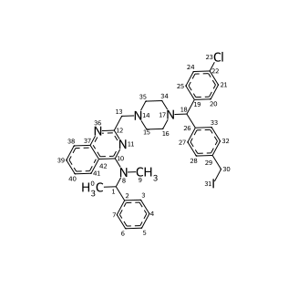 CC(c1ccccc1)N(C)c1nc(CN2CCN(C(c3ccc(Cl)cc3)c3ccc(CI)cc3)CC2)nc2ccccc12